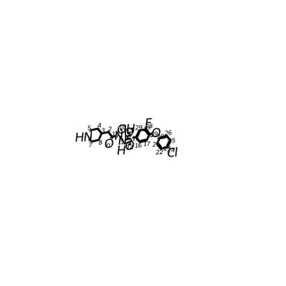 O=C(CC1CCNCC1)N(O)NS(=O)(=O)c1ccc(Oc2ccc(Cl)cc2)c(F)c1